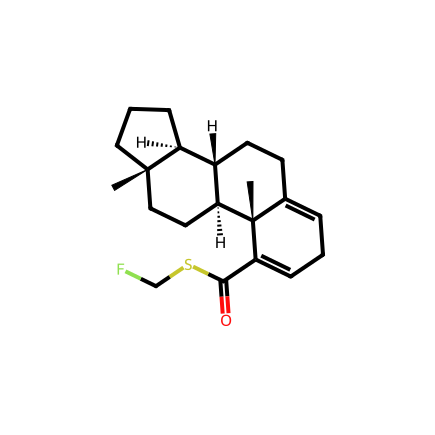 C[C@@]12CCC[C@H]1[C@@H]1CCC3=CCC=C(C(=O)SCF)[C@]3(C)[C@H]1CC2